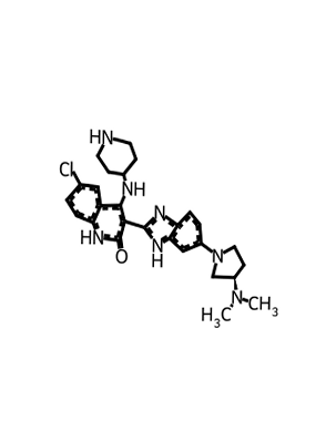 CN(C)[C@@H]1CCN(c2ccc3nc(-c4c(NC5CCNCC5)c5cc(Cl)ccc5[nH]c4=O)[nH]c3c2)C1